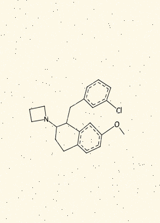 COc1ccc2c(c1)C(Cc1cccc(Cl)c1)C(N1CCC1)CC2